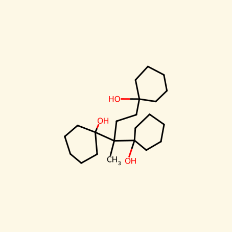 CC(CCC1(O)CCCCC1)(C1(O)CCCCC1)C1(O)CCCCC1